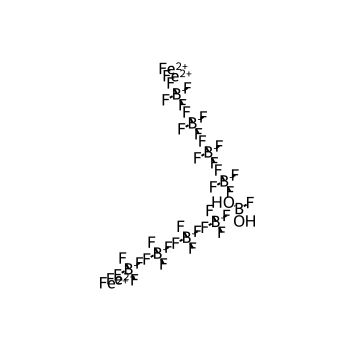 F[B-](F)(F)F.F[B-](F)(F)F.F[B-](F)(F)F.F[B-](F)(F)F.F[B-](F)(F)F.F[B-](F)(F)F.F[B-](F)(F)F.F[B-](F)(F)F.OB(O)F.[Fe+2].[Fe+2].[Fe+2].[Fe+2]